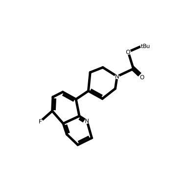 CC(C)(C)OC(=O)N1CC=C(c2ccc(F)c3cccnc23)CC1